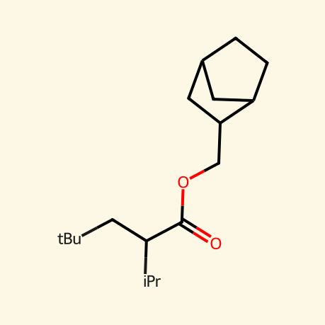 CC(C)C(CC(C)(C)C)C(=O)OCC1CC2CCC1C2